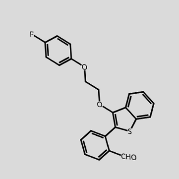 O=Cc1ccccc1-c1sc2ccccc2c1OCCOc1ccc(F)cc1